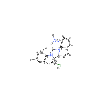 Cc1cc(C)c(N2CN3c4c(cccc4N(C)C)C=CC3[C]2=[Ag-2][Cl])c(C)c1